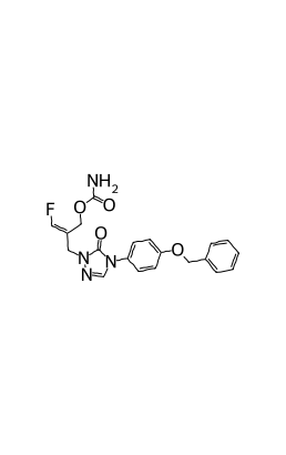 NC(=O)OC/C(=C\F)Cn1ncn(-c2ccc(OCc3ccccc3)cc2)c1=O